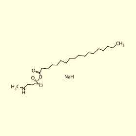 CCCCCCCCCCCCCCCCCC(=O)OS(=O)(=O)CCNC.[NaH]